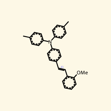 COc1ccccc1/C=C/c1ccc(N(c2ccc(C)cc2)c2ccc(C)cc2)cc1